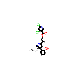 CCOC(=O)c1cnc(C(C)CCOC(=O)c2cnc(Cl)cc2Cl)cc1-c1ccccc1O